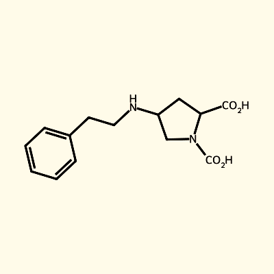 O=C(O)C1CC(NCCc2ccccc2)CN1C(=O)O